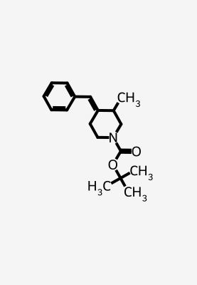 CC1CN(C(=O)OC(C)(C)C)CCC1=Cc1ccccc1